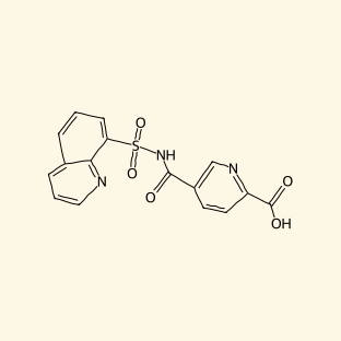 O=C(NS(=O)(=O)c1cccc2cccnc12)c1ccc(C(=O)O)nc1